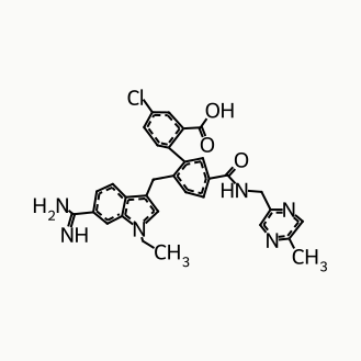 CCn1cc(Cc2ccc(C(=O)NCc3cnc(C)cn3)cc2-c2ccc(Cl)cc2C(=O)O)c2ccc(C(=N)N)cc21